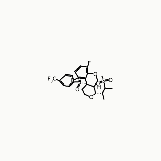 CC(C(C)S(C)(=O)=O)[C@@H]1OCC[C@@]2(S(=O)(=O)c3ccc(C(F)(F)F)cc3)c3c(F)ccc(F)c3OC[C@@H]12